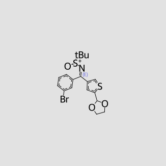 CC(C)(C)[S+]([O-])/N=C(\c1cccc(Br)c1)c1csc(C2OCCO2)c1